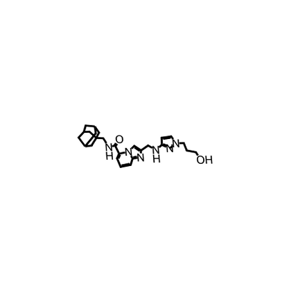 O=C(NCC12CC3CC(CC(C3)C1)C2)c1cccc2nc(CNc3ccn(CCCO)n3)cn12